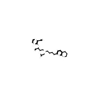 N#Cc1nccnc1NC(CCN(CCCCc1ccc2c(n1)NCCC2)CC(F)F)C(=O)O